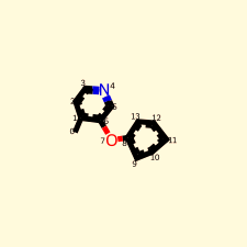 Cc1ccncc1Oc1ccccc1